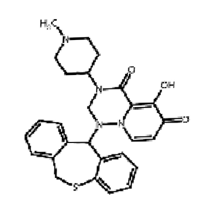 CN1CCC(N2CN(C3c4ccccc4CSc4ccccc43)n3ccc(=O)c(O)c3C2=O)CC1